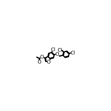 CC(=O)Oc1coc2cc(OCc3ccc(Cl)cc3Cl)c(Cl)cc12